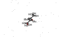 CC(C)(C)c1ccc2c(c1)N(CCCC[N+](CCO)(CCO)CCO)c1cc(C(C)(C)C)ccc1N2CCCC[N+](CCO)(CCO)CCO